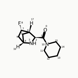 O=C([C@H]1N[C@H]2C[C@@H]1[C@@H](F)C2)N1CCCCC1